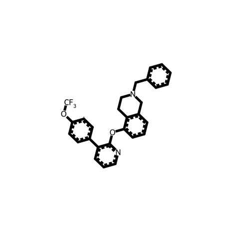 FC(F)(F)Oc1[c]cc(-c2cccnc2Oc2cccc3c2CCN(Cc2ccccc2)C3)cc1